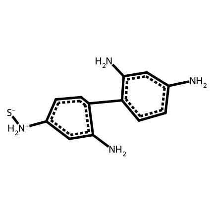 Nc1ccc(-c2ccc([NH2+][S-])cc2N)c(N)c1